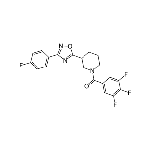 O=C(c1cc(F)c(F)c(F)c1)N1CCCC(c2nc(-c3ccc(F)cc3)no2)C1